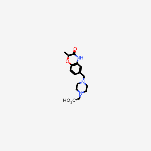 CC1Oc2ccc(CN3CCN(CC(=O)O)CC3)cc2NC1=O